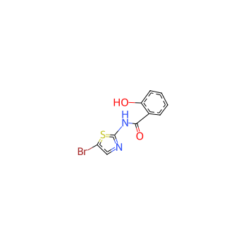 O=C(Nc1ncc(Br)s1)c1ccccc1O